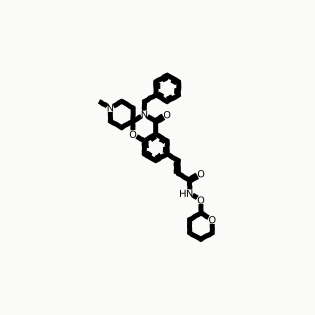 CN1CCC2(CC1)Oc1ccc(C=CC(=O)NOC3CCCCO3)cc1C(=O)N2Cc1ccccc1